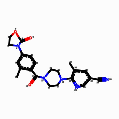 Cc1cc(N2CCOC2=O)ccc1C(=O)N1CCN(c2ncc(C#N)cc2C)CC1